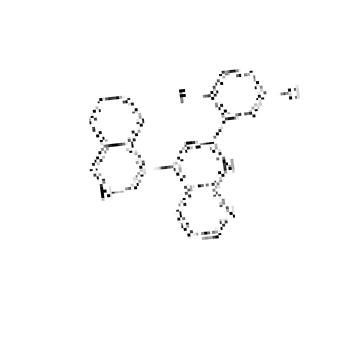 Fc1ccc(Cl)cc1-c1cc(-c2cncc3ccccc23)c2cccnc2n1